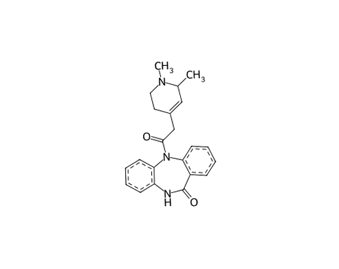 CC1C=C(CC(=O)N2c3ccccc3NC(=O)c3ccccc32)CCN1C